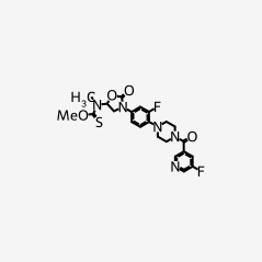 COC(=S)N(C)C1CN(c2ccc(N3CCN(C(=O)c4cncc(F)c4)CC3)c(F)c2)C(=O)O1